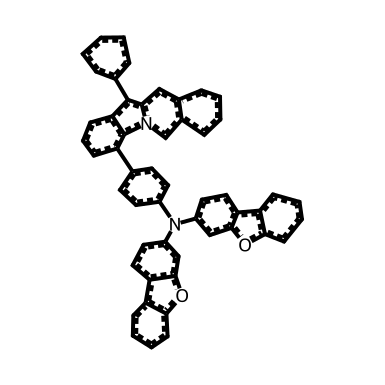 c1ccc(-c2c3cccc(-c4ccc(N(c5ccc6c(c5)oc5ccccc56)c5ccc6c(c5)oc5ccccc56)cc4)c3n3cc4ccccc4cc23)cc1